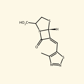 Cc1nnsc1C=C1C(=O)N2C(C(=O)O)CS[C@H]12